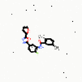 COc1ccc(C)cc1C(=O)Nc1cc(-c2nnc(-c3ccco3)o2)ccc1F